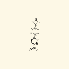 O=[N+]([O-])c1ccc(N2CCN(C3COC3)CC2)cn1